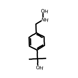 CC(C)(O)c1ccc(CNO)cc1